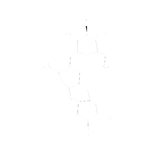 NCC1O[C@H](OC2C(N)CC(N)[C@@H](OC3OCC(O)[C@@H](O)[C@H]3O)[C@H]2O)C(N)[C@@H](O)[C@@H]1O